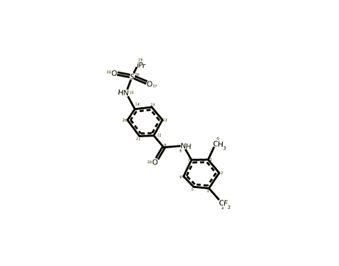 Cc1cc(C(F)(F)F)ccc1NC(=O)c1ccc(NS(=O)(=O)C(C)C)cc1